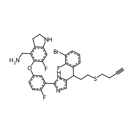 C#CCCSCCC(c1cnc(-c2cc(Oc3c(F)cc4c(c3CN)CCN4)ccc2F)[nH]1)c1cccc(Br)c1F